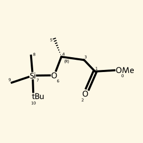 COC(=O)C[C@@H](C)O[Si](C)(C)C(C)(C)C